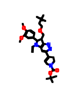 C=CN1c2cc(C3=CCN(C(=O)OC(C)(C)C)CC3)nnc2C(COCC[Si](C)(C)C)C1c1ccc(OC)c(OC)c1